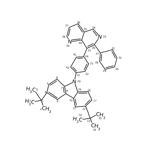 CC(C)(C)c1ccc2c(c1)c1cc(C(C)(C)C)ccc1n2-c1ccc(-c2c(-c3ccccc3)ncc3cccnc23)cc1